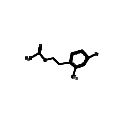 NC(=O)OCCc1ccc(Br)cc1C(F)(F)F